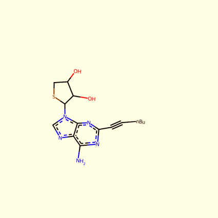 CCCCC#Cc1nc(N)c2ncn(C3SCC(O)C3O)c2n1